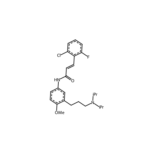 COc1ccc(NC(=O)C=Cc2c(F)cccc2Cl)cc1CCCN(C(C)C)C(C)C